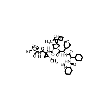 C=C[C@@H]1C[C@]1(NC(=O)[C@@H]1C[C@@]2(CN1C(=O)[C@@H](NC(=O)[C@@H](NC(=O)[C@@H]1CCCCN1CC)C1CCCCC1)C1CCOCC1)C(C)(C)C21CCC1)C(=O)NS(=O)(=O)N(CC)CC